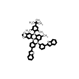 Cc1cc2c3c(c1)N(c1c(C)cc(C(C)(C)C)cc1C)c1cc4c(cc1B3c1ccc(-c3cc5ccccc5s3)cc1N2c1cccc(-c2cc3ccccc3s2)c1)OCO4